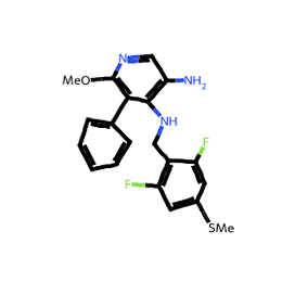 COc1ncc(N)c(NCc2c(F)cc(SC)cc2F)c1-c1ccccc1